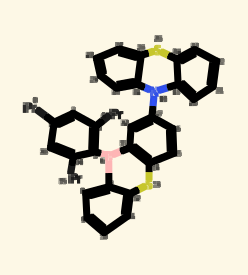 CC(C)c1cc(C(C)C)c(B2c3ccccc3Sc3ccc(N4c5ccccc5Sc5ccccc54)cc32)c(C(C)C)c1